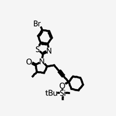 CC1CC(CC#CC2(O[Si](C)(C)C(C)(C)C)CCCCC2)N(c2nc3ccc(Br)cc3s2)C1=O